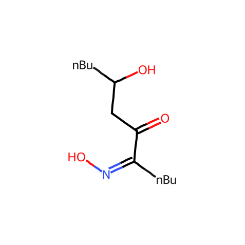 CCCCC(=NO)C(=O)CC(O)CCCC